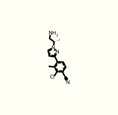 Cc1c(-c2ccn([C@@H](C)CN)n2)ccc(C#N)c1Cl